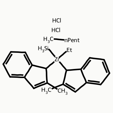 CCCCCC.C[CH2][Zr]([SiH3])([CH]1C(C)=Cc2ccccc21)[CH]1C(C)=Cc2ccccc21.Cl.Cl